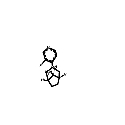 N[C@@H]1[C@@H]2CC[C@H]1CN(c1ccncc1F)C2